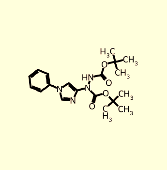 CC(C)(C)OC(=O)NN(C(=O)OC(C)(C)C)c1cn(-c2ccccc2)cn1